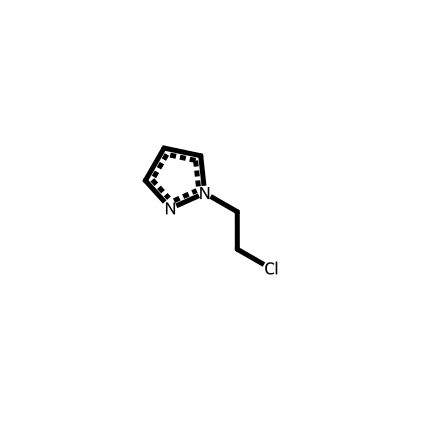 ClCCn1cccn1